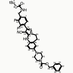 CC(C)(C)OC(=O)NCc1ccc(-c2nn3c(c2C#N)Nc2ccc(N4CCN(C(=O)OCc5ccccc5)CC4)cc2CC3)c(F)c1F